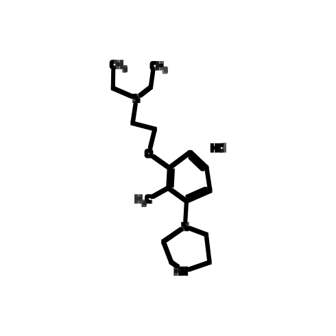 CCN(CC)CCOc1cccc(N2CCNCC2)c1C.Cl